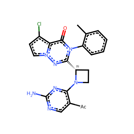 CC(=O)c1cnc(N)nc1N1CC[C@H]1c1nn2ccc(Cl)c2c(=O)n1-c1ccccc1C